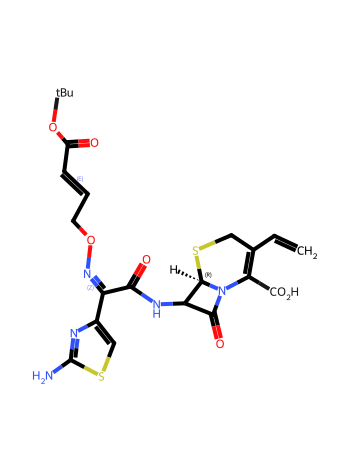 C=CC1=C(C(=O)O)N2C(=O)C(NC(=O)/C(=N\OC/C=C/C(=O)OC(C)(C)C)c3csc(N)n3)[C@H]2SC1